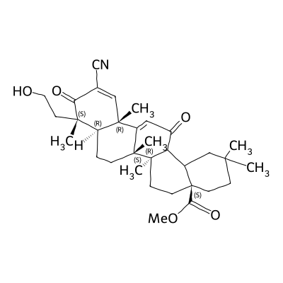 COC(=O)[C@]12CCC(C)(C)CC1C1C(=O)C=C3[C@@]4(C)C=C(C#N)C(=O)[C@@](C)(CCO)[C@@H]4CC[C@@]3(C)[C@]1(C)CC2